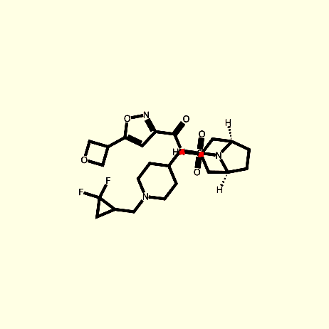 O=C(NC1C[C@H]2CC[C@@H](C1)N2S(=O)(=O)CC1CCN(CC2CC2(F)F)CC1)c1cc(C2COC2)on1